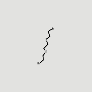 BrCCSCCSCCBr